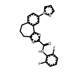 O=C(Nc1c(F)cccc1F)c1nc2c(s1)-c1cc(-n3cccn3)ccc1CCC2